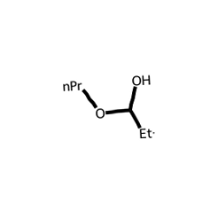 C[CH]C(O)OCCC